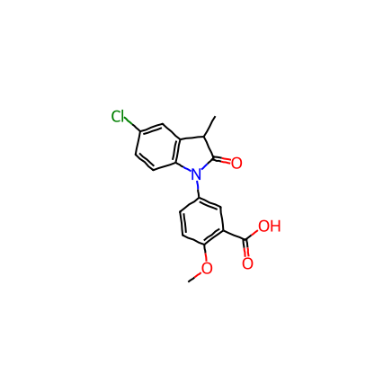 COc1ccc(N2C(=O)C(C)c3cc(Cl)ccc32)cc1C(=O)O